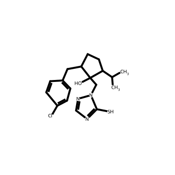 CC(C)C1CCC(Cc2ccc(Cl)cc2)C1(O)Cn1ncnc1S